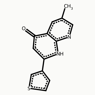 Cc1cnc2[nH]c(-c3ccsc3)cc(=O)c2c1